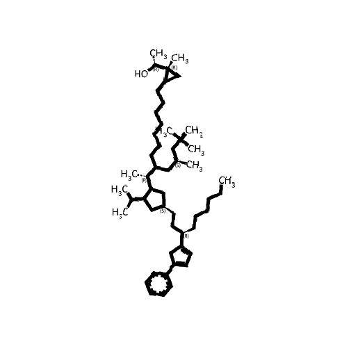 CCCCCC[C@H](CC[C@H]1CC(C(C)C)C([C@H](C)C(CCCCCCCC2C[C@@]2(C)[C@@H](C)O)C[C@H](C)CC(C)(C)C)C1)C1=CC=C(c2ccccc2)C1